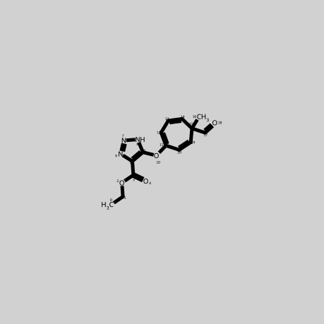 CCOC(=O)c1nn[nH]c1OC1=CC=CC(C)(C=O)C=C1